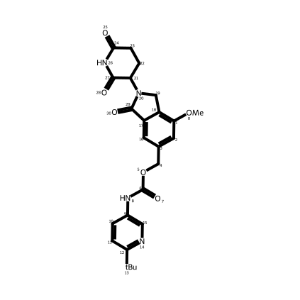 COc1cc(COC(=O)Nc2ccc(C(C)(C)C)nc2)cc2c1CN(C1CCC(=O)NC1=O)C2=O